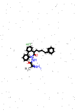 C[C@H](N)C(=O)NN1C(=O)C(CCCCc2ccccc2)c2ccccc2-c2ccccc21.Cl